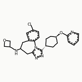 Clc1ccc2c(c1)CC(NC1COC1)Cc1nnc([C@H]3CC[C@H](Oc4ccccn4)CC3)n1-2